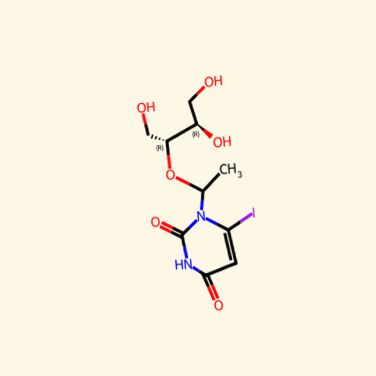 CC(O[C@H](CO)[C@H](O)CO)n1c(I)cc(=O)[nH]c1=O